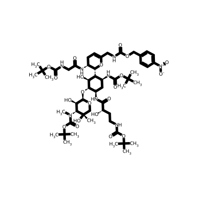 CN(C(=O)OC(C)(C)C)[C@@H]1[C@@H](O)[C@@H](O[C@H]2[C@H](NC(=O)[C@@H](O)CCNC(=O)OC(C)(C)C)C[C@H](NC(=O)OC(C)(C)C)C([C@H]3OC(CNC(=O)OCc4ccc([N+](=O)[O-])cc4)=CC[C@H]3NC(=O)CNC(=O)OC(C)(C)C)[C@@H]2O)OC[C@]1(C)O